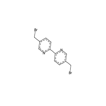 BrCc1ccc(-c2ccc(CBr)cn2)nc1